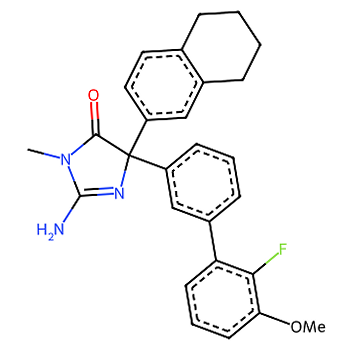 COc1cccc(-c2cccc(C3(c4ccc5c(c4)CCCC5)N=C(N)N(C)C3=O)c2)c1F